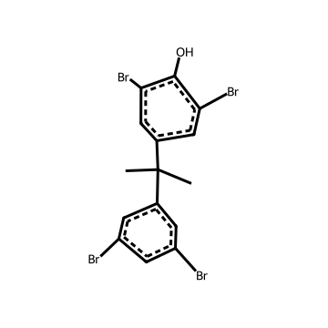 CC(C)(c1cc(Br)cc(Br)c1)c1cc(Br)c(O)c(Br)c1